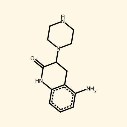 Nc1cccc2c1CC(N1CCNCC1)C(=O)N2